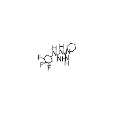 N=C(NC(=N)N1CCCCC1)NC1CC(F)C(F)[C@@H](F)C1